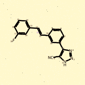 N#Cc1[nH]nnc1-c1cccc(/C=C/c2cccc(F)c2)c1